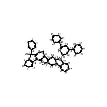 CC1(c2ccccc2)c2ccccc2-c2c1ccc1c2oc2cc3c4ccccc4n(-c4cc(-c5ccccc5)cc(-c5ccccc5)n4)c3cc21